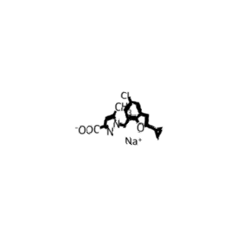 Cc1cc(C(=O)[O-])nn1Cc1cc(Cl)cc2cc(C3CC3)oc12.[Na+]